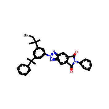 CC(C)(C)CC(C)(C)c1cc(-n2nc3cc4c(cc3n2)C(=O)N(c2ccccc2)C4=O)cc(C(C)(C)c2ccccc2)c1